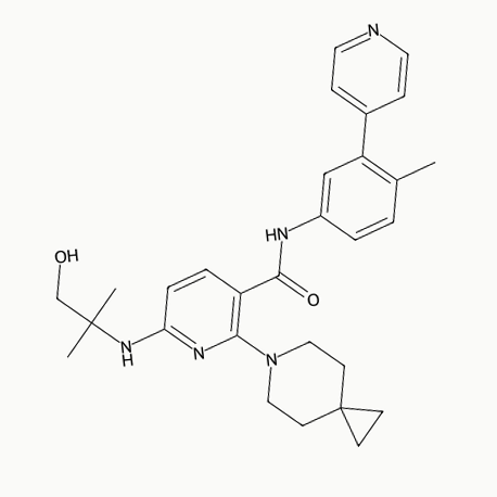 Cc1ccc(NC(=O)c2ccc(NC(C)(C)CO)nc2N2CCC3(CC2)CC3)cc1-c1ccncc1